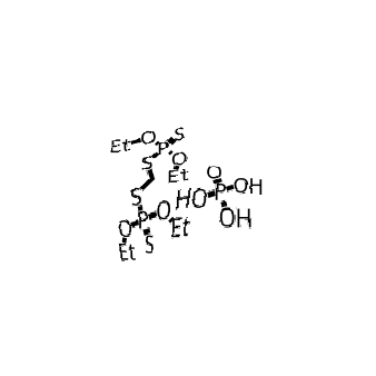 CCOP(=S)(OCC)SCSP(=S)(OCC)OCC.O=P(O)(O)O